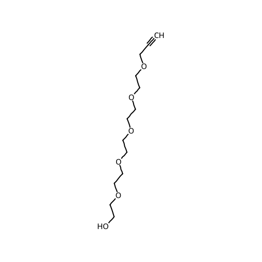 C#CCOCCOCCOCCOCCOCCO